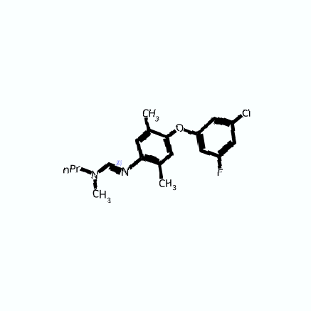 CCCN(C)/C=N/c1cc(C)c(Oc2cc(F)cc(Cl)c2)cc1C